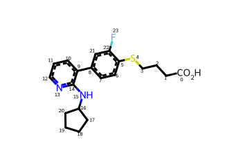 O=C(O)CCCSc1ccc(-c2cccnc2NC2CCCC2)cc1F